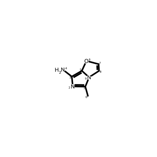 Cc1nc(N)c2occn12